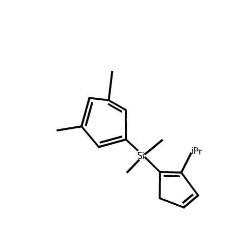 Cc1cc(C)cc([Si](C)(C)C2=C(C(C)C)C=CC2)c1